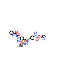 CN1CCC[C@H]1COC(=O)NC1CCC(c2ncc(-c3ccc(NC(=O)NC(=O)c4ccccc4)cc3S(=O)(=O)NC(C)(C)C)s2)CC1